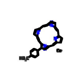 O=C(O)c1ccc(-c2cc3cc4nc(cc5ccc(cc6nc(cc2[nH]3)C=C6)[nH]5)C=C4)cc1.[Co]